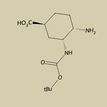 CC(C)(C)OC(=O)N[C@@H]1C[C@@H](C(=O)O)CC[C@@H]1N